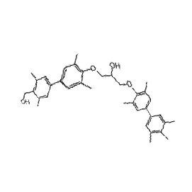 Cc1cc(-c2cc(C)c(OCC(O)COc3c(C)cc(-c4cc(C)c(CO)c(C)c4)cc3C)c(C)c2)cc(C)c1C